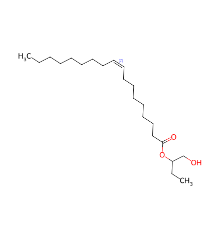 CCCCCCCC/C=C\CCCCCCCC(=O)OC(CC)CO